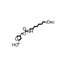 CCCCCCCCCCCCCCCCCNC(=O)OC[C@@H]1CO[C@@H](CO)C1